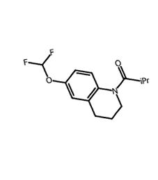 CC(C)C(=O)N1CCCc2cc(OC(F)F)ccc21